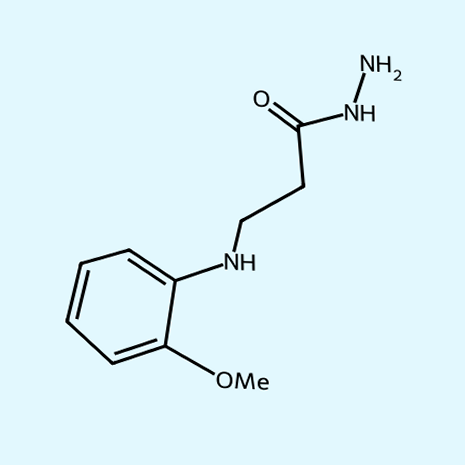 COc1ccccc1NCCC(=O)NN